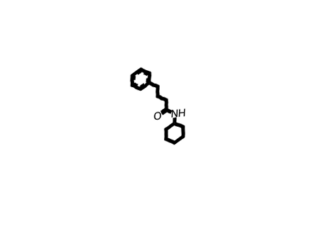 O=C(CCCc1ccccc1)NC1CCCCC1